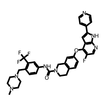 CN1CCN(Cc2ccc(NC(=O)N3CCc4ccc(Oc5c(F)cnc6[nH]c(-c7ccncc7)cc56)cc4C3)cc2C(F)(F)F)CC1